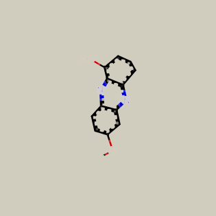 CCOc1ccc2nc3c(O)cccc3nc2c1